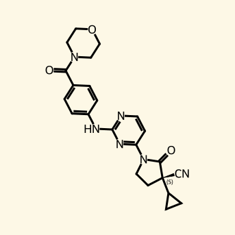 N#C[C@@]1(C2CC2)CCN(c2ccnc(Nc3ccc(C(=O)N4CCOCC4)cc3)n2)C1=O